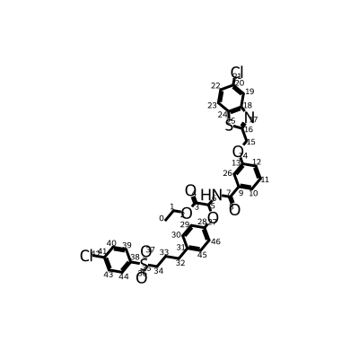 CCOC(=O)C(NC(=O)c1cccc(OCc2nc3cc(Cl)ccc3s2)c1)Oc1ccc(CCCS(=O)(=O)c2ccc(Cl)cc2)cc1